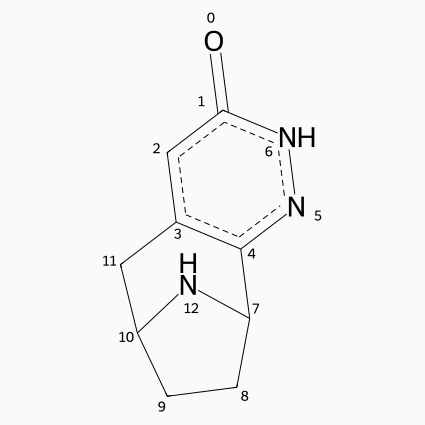 O=c1cc2c(n[nH]1)C1CCC(C2)N1